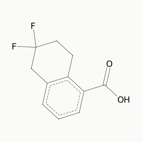 O=C(O)c1cccc2c1CCC(F)(F)C2